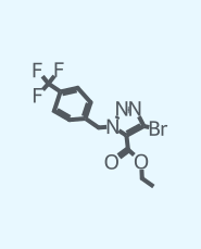 CCOC(=O)c1c(Br)nnn1Cc1ccc(C(F)(F)F)cc1